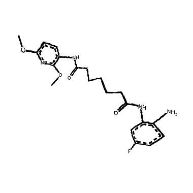 COc1ccc(NC(=O)CCCCCC(=O)Nc2cc(F)ccc2N)c(OC)n1